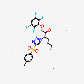 CCCCC(C(=O)COc1c(F)c(F)cc(F)c1F)n1cc(S(=O)(=O)c2ccc(C)cc2)nn1